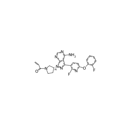 C=CC(=O)N1CC[C@@H](n2nc(-c3ccc(Oc4ccccc4F)nc3F)c3c(N)ncnc32)C1